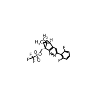 CC1(C)[C@H]2CC[C@]1(COS(=O)(=O)C(F)(F)F)c1nnc(-c3c(F)cccc3F)cc12